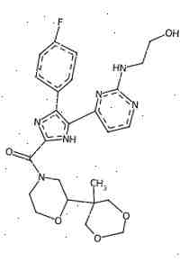 CC1(C2CN(C(=O)c3nc(-c4ccc(F)cc4)c(-c4ccnc(NCCO)n4)[nH]3)CCO2)COCOC1